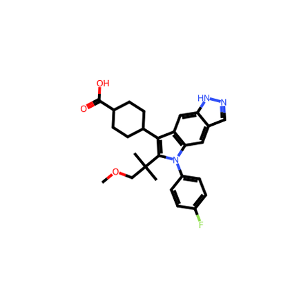 COCC(C)(C)c1c(C2CCC(C(=O)O)CC2)c2cc3[nH]ncc3cc2n1-c1ccc(F)cc1